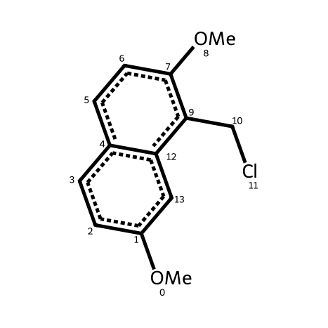 COc1ccc2ccc(OC)c(CCl)c2c1